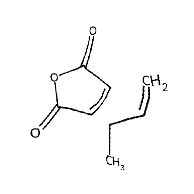 C=CCC.O=C1C=CC(=O)O1